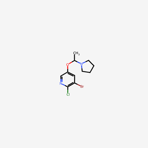 CC(Oc1cnc(Cl)c(Br)c1)N1CCCC1